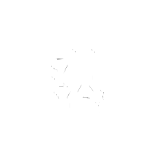 Cc1nc2c(F)cc(-c3nc(Nc4ccc(CN5CCN(CC(F)F)CC5)cn4)ncc3F)cc2n1C(C)C